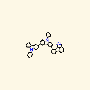 c1ccc(-n2c3ccccc3c3cc(-c4ccc5c(c4)c4cc(-c6cccc7c6-c6cncc8cccc-7c68)ccc4n5-c4ccccc4)ccc32)cc1